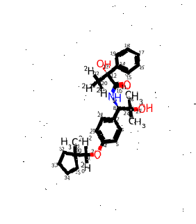 [2H]C([2H])(Oc1ccc([C@@H](NC(=O)[C@](O)(c2ccccc2)C([2H])([2H])[2H])C(C)(C)O)cc1)C1(C)CCCC1